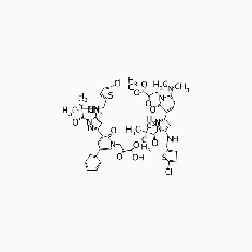 CC(C)(C)C(=O)n1nc(-c2cc(-c3ccccc3)cn(CC(=O)C(=O)O)c2=O)cc1NCc1ccc(Cl)s1.COC(=O)C(=O)Cn1c(N(C)C)ccc(-c2cc(NCc3ccc(Cl)s3)n(C(=O)C(C)(C)C)n2)c1=O